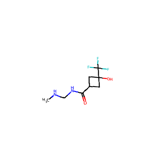 CNCNC(=O)C1CC(O)(C(F)(F)F)C1